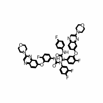 O=C(Nc1ccc(F)c(Oc2ccc3ncc(N4CCOCC4)nc3c2)c1)N(c1ccc(F)c(F)c1)N(C(=O)Nc1ccc(F)cc1)c1ccc(F)c(Oc2ccc3ncc(N4CCOCC4)nc3c2)c1